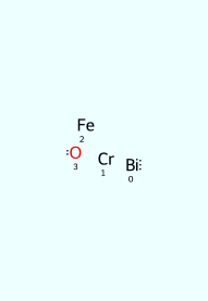 [Bi].[Cr].[Fe].[O]